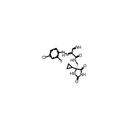 N=C/C(=N\Nc1ccc(Cl)cc1F)C(=O)NC[C@@]1(C2CC2)NC(=O)NC1=O